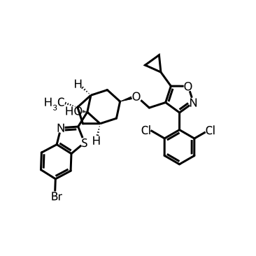 C[C@H]1C[C@@H]2C[C@H](OCc3c(-c4c(Cl)cccc4Cl)noc3C3CC3)C[C@H]1[C@]2(O)c1nc2ccc(Br)cc2s1